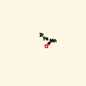 [Fe].[O]=[Mn].[Zr]